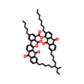 CCCCCCCCc1ccc2c(c1)C(=O)c1c(ccc(CCCCCCCC)c1OC(=O)c1ccccc1C(=O)Oc1c(CCCCCCCC)ccc3c1C(=O)c1cc(CCCCCCCC)ccc1C3=O)C2=O